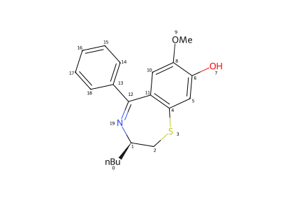 CCCC[C@@H]1CSc2cc(O)c(OC)cc2C(c2ccccc2)=N1